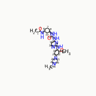 C=CC(=O)Nc1cccc(NC(=O)Nc2ccnc(Nc3ccc(N4CCN(CC)CC4)cc3OC)n2)c1